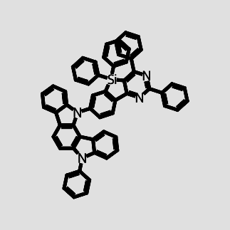 c1ccc(-c2nc(-c3ccccc3)c3c(n2)-c2ccc(-n4c5ccccc5c5ccc6c(c7ccccc7n6-c6ccccc6)c54)cc2[Si]3(c2ccccc2)c2ccccc2)cc1